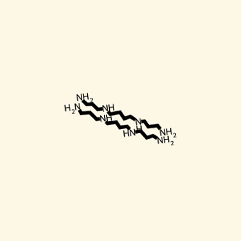 NCCCNCCCCNCCCN.NCCCNCCCCNCCCN